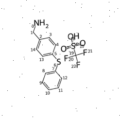 NCc1ccc(Sc2ccccc2)cc1.O=S(=O)(O)C(F)(F)F